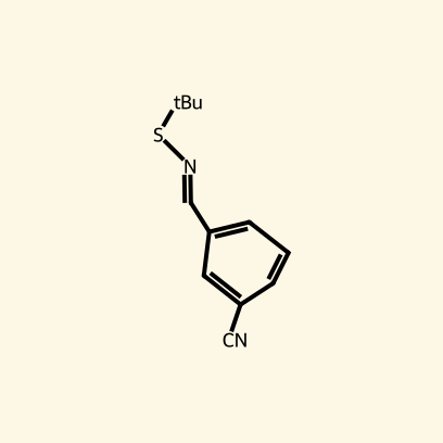 CC(C)(C)SN=Cc1cccc(C#N)c1